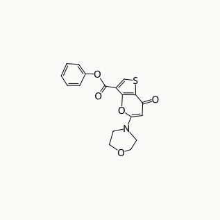 O=C(Oc1ccccc1)c1csc2c(=O)cc(N3CCOCC3)oc12